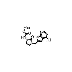 CC(C)(C)OC(=O)N[C@H]1CCN(Cc2cc3c(Cl)ncnc3s2)C1=O